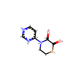 O=C1SCCN(c2ccn[c]n2)C1=O